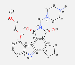 CCOCCOc1cccc2[nH]c3c4c(c5c(c3c12)C(=O)N(CN1CCN(C)CC1)C5=O)CCC4